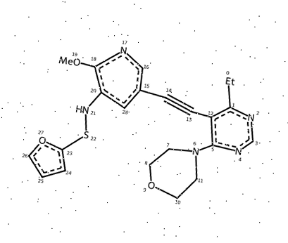 CCc1ncnc(N2CCOCC2)c1C#Cc1cnc(OC)c(NSc2ccco2)c1